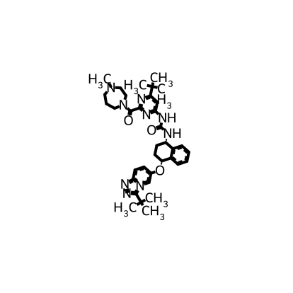 CN1CCCN(C(=O)c2nc(NC(=O)N[C@H]3CC[C@@H](Oc4ccc5nnc(C(C)(C)C)n5c4)c4ccccc43)cc(C(C)(C)C)n2)CC1